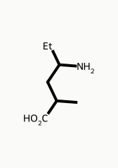 CCC(N)CC(C)C(=O)O